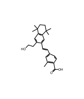 Cc1cc(/C=C/c2cc3c(cc2CCO)C(C)(C)CCC3(C)C)ccc1C(=O)O